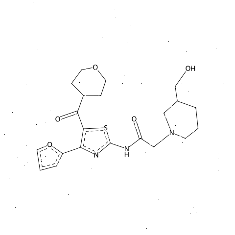 O=C(CN1CCCC(CO)C1)Nc1nc(-c2ccco2)c(C(=O)C2CCOCC2)s1